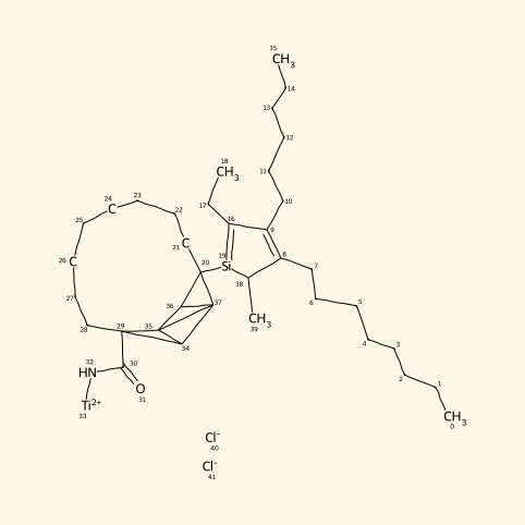 CCCCCCCCC1=C(CCCCCC)C(CC)=[Si](C23CCCCCCCCC4(C(=O)[NH][Ti+2])C5C46C2C536)C1C.[Cl-].[Cl-]